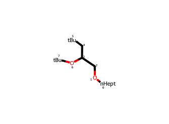 CCCCCCCOCC(CC(C)(C)C)OC(C)(C)C